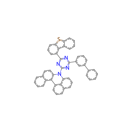 c1ccc(-c2cccc(-c3nc(-c4cccc5sc6ccccc6c45)nc(N4c5ccc6ccccc6c5-c5cccc6cccc4c56)n3)c2)cc1